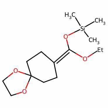 CCOC(O[Si](C)(C)C)=C1CCC2(CC1)OCCO2